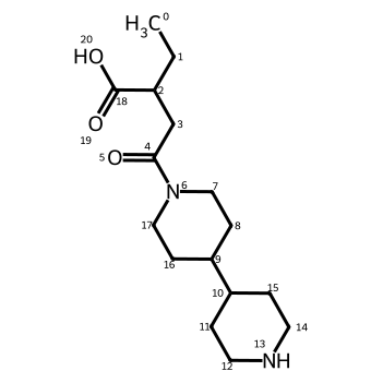 CCC(CC(=O)N1CCC(C2CCNCC2)CC1)C(=O)O